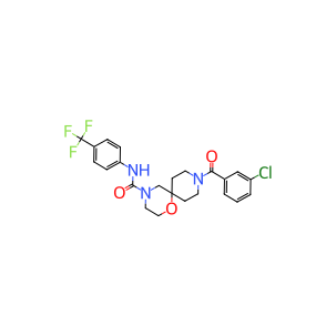 O=C(Nc1ccc(C(F)(F)F)cc1)N1CCOC2(CCN(C(=O)c3cccc(Cl)c3)CC2)C1